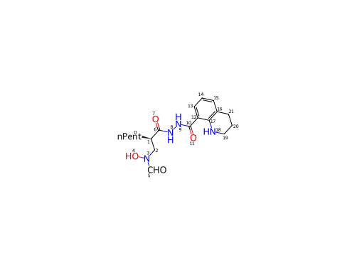 CCCCC[C@H](CN(O)C=O)C(=O)NNC(=O)c1cccc2c1NCCC2